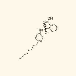 CCCCCCCCc1ccc(NS(=O)(=O)c2ccccc2C(=O)O)cc1